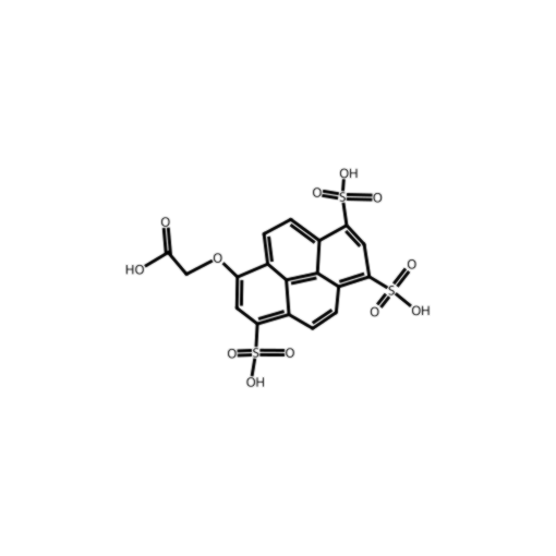 O=C(O)COc1cc(S(=O)(=O)O)c2ccc3c(S(=O)(=O)O)cc(S(=O)(=O)O)c4ccc1c2c43